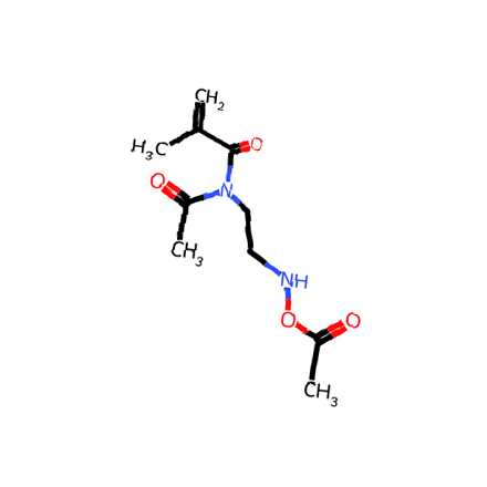 C=C(C)C(=O)N(CCNOC(C)=O)C(C)=O